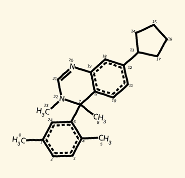 Cc1ccc(C)c(C2(C)c3ccc(C4CCCC4)cc3N=CN2C)c1